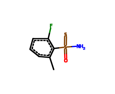 Cc1cccc(F)c1S(N)(=O)=S